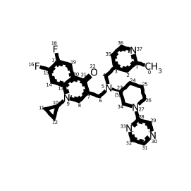 Cc1cc(CN(Cc2cn(C3CC3)c3cc(F)c(F)cc3c2=O)[C@H]2CCCN(c3cnccn3)C2)ccn1